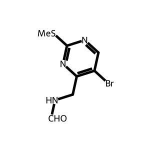 CSc1ncc(Br)c(CNC=O)n1